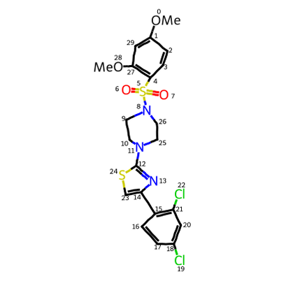 COc1ccc(S(=O)(=O)N2CCN(c3nc(-c4ccc(Cl)cc4Cl)cs3)CC2)c(OC)c1